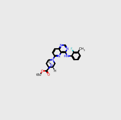 Cc1cccc(Nc2ncnc3ccc(N4C[C@@H]5CCC4CN5C(=O)OC(C)(C)C)nc23)c1F